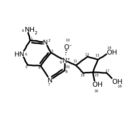 NC1=NC2=C(CN1)N=C[N@+]2([O-])C1CC(O)C(O)(CO)C1